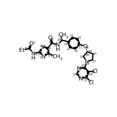 CCC(=O)Nc1nc(C)c(C(=O)N[C@@H](C)c2ccc(O[C@@H]3CCN(c4ncnc(Cl)c4Cl)C3)cc2)s1